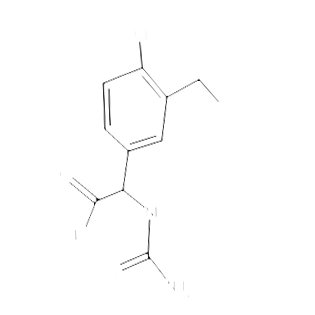 NC(=O)NC(C(=O)O)c1ccc(O)c(CCl)c1